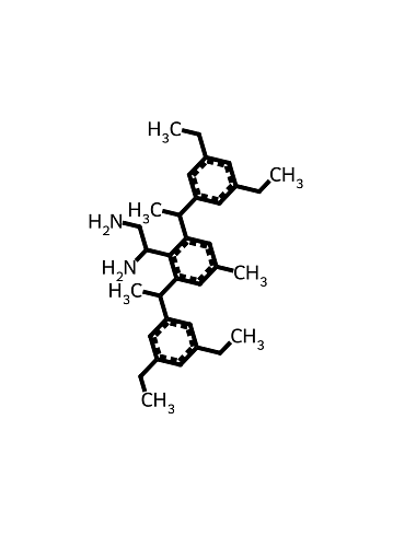 CCc1cc(CC)cc(C(C)c2cc(C)cc(C(C)c3cc(CC)cc(CC)c3)c2C(N)CN)c1